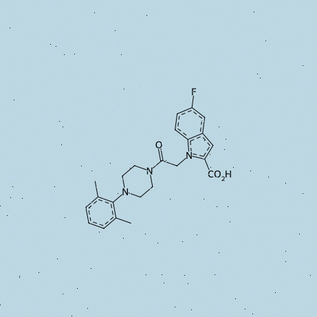 Cc1cccc(C)c1N1CCN(C(=O)Cn2c(C(=O)O)cc3cc(F)ccc32)CC1